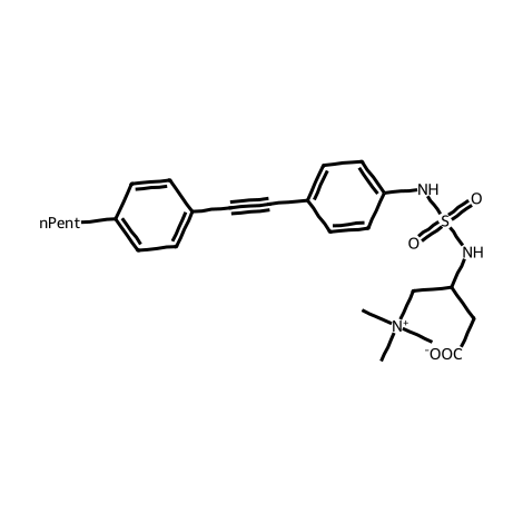 CCCCCc1ccc(C#Cc2ccc(NS(=O)(=O)NC(CC(=O)[O-])C[N+](C)(C)C)cc2)cc1